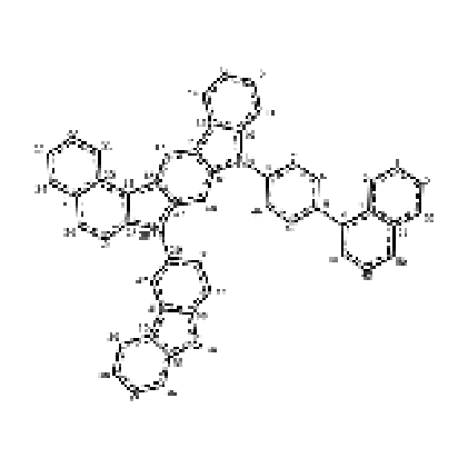 c1ccc2c(-c3ccc(-n4c5ccccc5c5cc6c7c8ccccc8ccc7n(-c7ccc8sc9ccccc9c8c7)c6cc54)cc3)cccc2c1